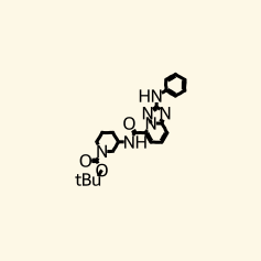 CC(C)(C)OC(=O)N1CCCC(NC(=O)c2cccc3nc(Nc4ccccc4)nn23)C1